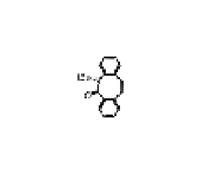 CC(C)(C)N1C(=O)c2ccccc2C#Cc2ccccc21